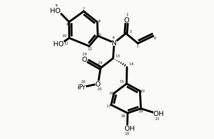 C=CC(=O)N(c1ccc(O)c(O)c1)[C@H](Cc1ccc(O)c(O)c1)C(=O)OC(C)C